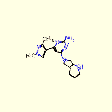 Cc1nn(C)cc1-c1cc(N2CC3CCCNC3C2)nc(N)n1